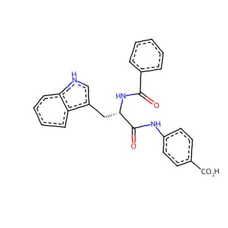 O=C(O)c1ccc(NC(=O)[C@H](Cc2c[nH]c3ccccc23)NC(=O)c2ccccc2)cc1